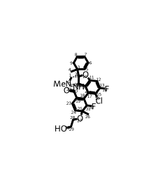 CNC[C@]1(C2(C)C=CC=CC2)Oc2cc(F)c(Cl)c(C3=C(C(N)=O)C=CC(C)(OCCO)C3F)c2[C@@H]1C